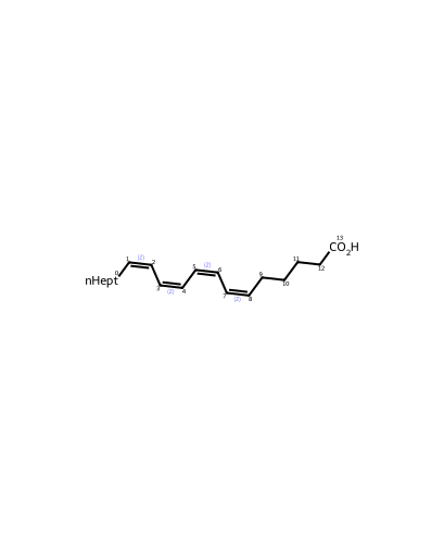 CCCCCCC\C=C/C=C\C=C/C=C\CCCCC(=O)O